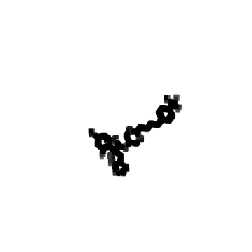 CC(SC1COC(/C=C/C=C/c2ccc(C(F)(F)F)cc2)OC1)C(O)(Cn1cncn1)c1ccc(F)cc1F